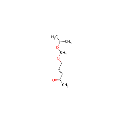 CC(=O)C=CCO[SiH2]OC(C)C